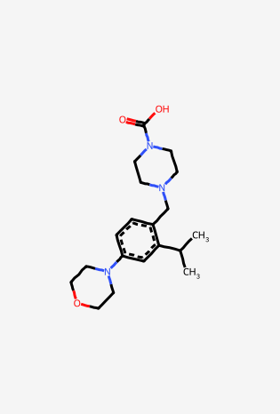 CC(C)c1cc(N2CCOCC2)ccc1CN1CCN(C(=O)O)CC1